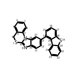 c1ccc2c(c1)CSc1nc3ccc(-c4cccc5sc6ccccc6c45)cc3n1-2